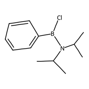 CC(C)N(B(Cl)c1ccccc1)C(C)C